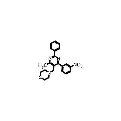 Cc1nc(-c2ccccc2)nc(-c2cccc([N+](=O)[O-])c2)c1CN1CCSCC1